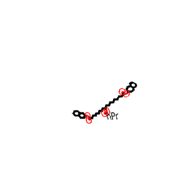 CCCC(=O)OC(CCCCCCCCC(=O)OC1CCC2CCCCC2CC1)CCCCCCCCC(=O)OC1CCC2CCCCC2C1